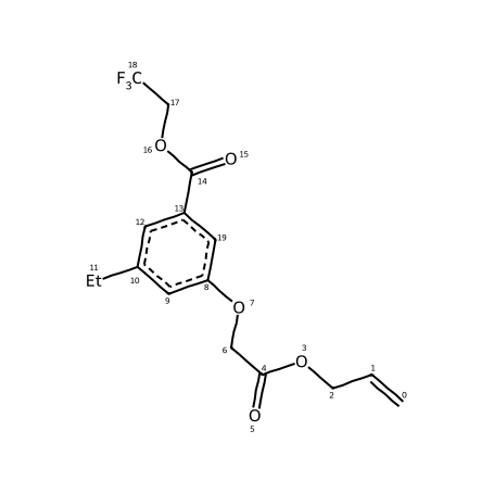 C=CCOC(=O)COc1cc(CC)cc(C(=O)OCC(F)(F)F)c1